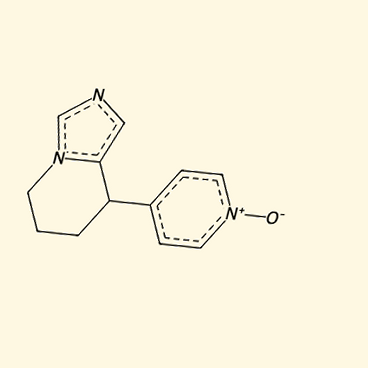 [O-][n+]1ccc(C2CCCn3cncc32)cc1